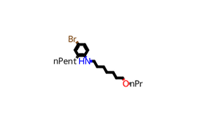 CCCCCc1cc(Br)ccc1NCCCCCCCOCCC